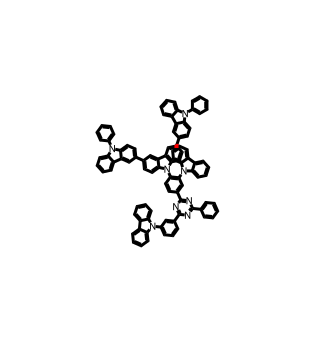 c1ccc(-c2nc(-c3cccc(-n4c5ccccc5c5ccccc54)c3)nc(-c3ccc(-n4c5ccc(-c6ccc7c(c6)c6ccccc6n7-c6ccccc6)cc5c5cc(-c6ccc7c(c6)c6ccccc6n7-c6ccccc6)ccc54)c(-n4c5ccccc5c5ccccc54)c3)n2)cc1